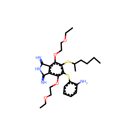 CCCCC(C)Sc1c(OCCOCC)c2c(c(OCCOCC)c1Sc1ccccc1N)C(=N)NC2=N